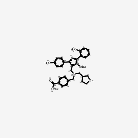 CCCCn1c(-c2ccccc2C)nc(-c2ccc(C)cc2)c1CN(Cc1ccc(C(=O)OC)cc1)CC1CCOC1